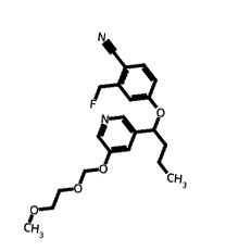 CCCC(Oc1ccc(C#N)c(CF)c1)c1cncc(OCOCCOC)c1